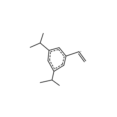 C=[C]c1cc(C(C)C)cc(C(C)C)c1